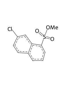 COS(=O)(=O)c1cccc2ccc(Cl)cc12